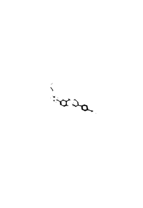 COCCOc1nnc(C2=C(C)C=C(C)C(C(=O)N3CCC(c4ccc(C#N)cc4)CC3)C2)[nH]1